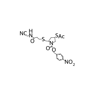 CC(=O)SC1CC(CSCCC(=O)NCC#N)N(C(=O)OCc2ccc([N+](=O)[O-])cc2)C1